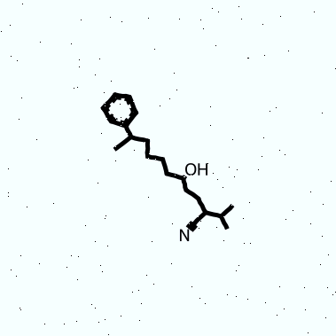 CC(CCCCC(O)CCC(C#N)C(C)C)c1ccccc1